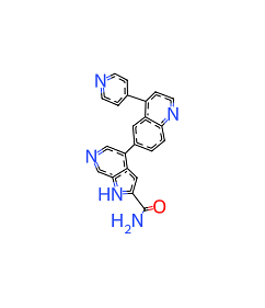 NC(=O)c1cc2c(-c3ccc4nccc(-c5ccncc5)c4c3)cncc2[nH]1